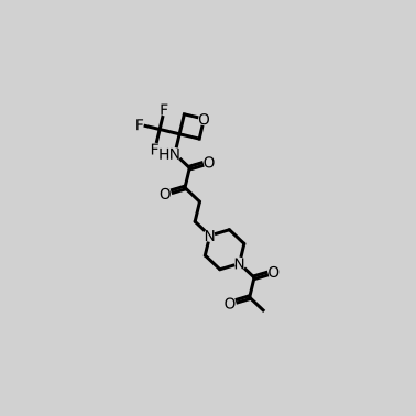 CC(=O)C(=O)N1CCN(CCC(=O)C(=O)NC2(C(F)(F)F)COC2)CC1